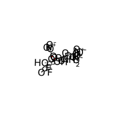 C[C@]12C=CC(=O)C=C1[C@@H](F)CC1C3C[C@@H](O)[C@](OC(=O)CCCO[N+](=O)[O-])(C(=O)COC(=O)CC(N)C(=O)OCC(CO[N+](=O)[O-])O[N+](=O)[O-])[C@@]3(C)C[C@H](O)[C@@]12F